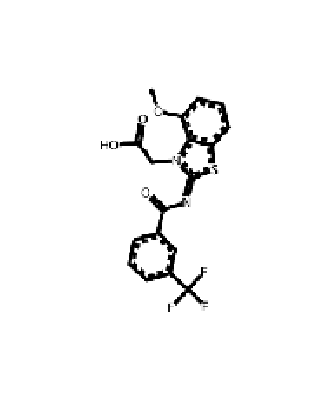 COc1cccc2sc(=NC(=O)c3cccc(C(F)(F)F)c3)n(CC(=O)O)c12